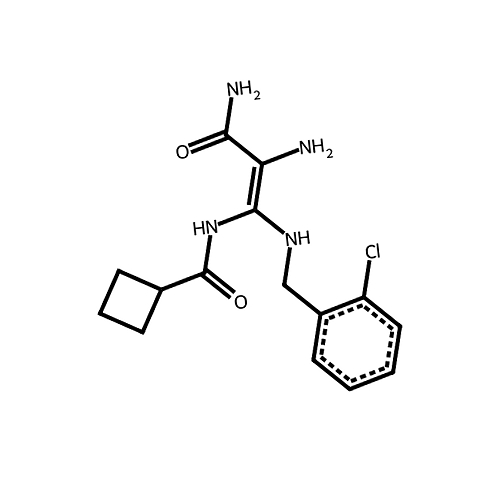 NC(=O)/C(N)=C(/NCc1ccccc1Cl)NC(=O)C1CCC1